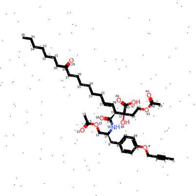 CC#CCOc1ccc(C[C@@H](COC(C)=O)NC(=O)[C@@H](/C=C/CCCCCCC(=O)CCCCCCC)[C@@](O)(CCOC(C)=O)C(=O)O)cc1